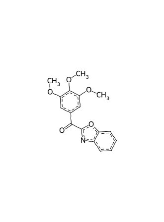 COc1cc(C(=O)c2nc3ccccc3o2)cc(OC)c1OC